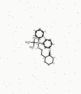 CC(C)(C)[Si](OCCC1CCCCC1=O)(c1ccccc1)c1ccccc1